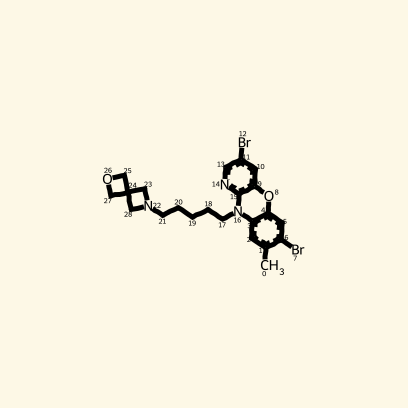 Cc1cc2c(cc1Br)Oc1cc(Br)cnc1N2CCCCCN1CC2(COC2)C1